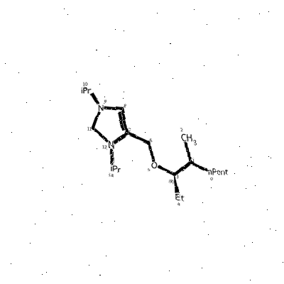 CCCCCC(C)[C@@H](CC)OCC1=CN(C(C)C)CN1C(C)C